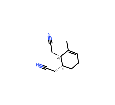 CC1=CCC[C@H](CC#N)[C@@H]1CC#N